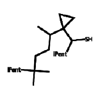 CCCC(C)C(S)C1(C(C)CCC(C)(C)C(C)CCC)CC1